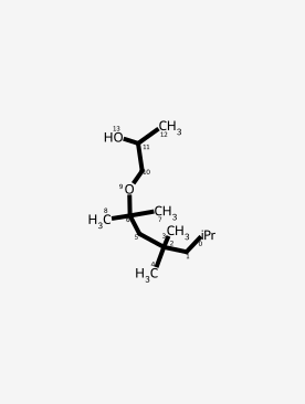 CC(C)CC(C)(C)CC(C)(C)OCC(C)O